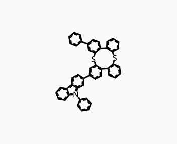 c1ccc(-c2ccc3c(c2)Sc2cc(-c4ccc5c6ccccc6n(-c6ccccc6)c5c4)ccc2-c2ccccc2Sc2ccccc2-3)cc1